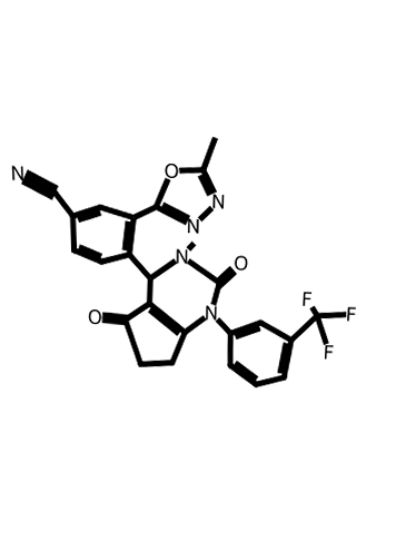 Cc1nnc(-c2cc(C#N)ccc2C2C3=C(CCC3=O)N(c3cccc(C(F)(F)F)c3)C(=O)N2C)o1